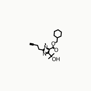 C#CCCc1nc(C(C)(C)O)c(C(=O)OCC2CCCCC2)n1C